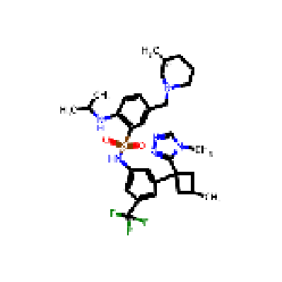 CC1CC(c2cc(NS(=O)(=O)c3cc(CN4CCC[C@H](C)C4)ccc3NC(C)C)cc(C(F)(F)F)c2)(c2nncn2C)C1